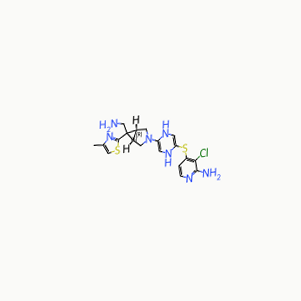 Cc1csc(C2(CN)[C@@H]3CN(C4=CNC(Sc5ccnc(N)c5Cl)=CN4)C[C@@H]32)n1